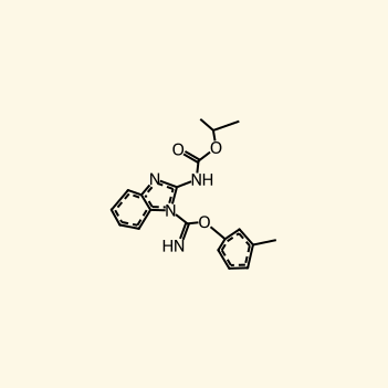 Cc1cccc(OC(=N)n2c(NC(=O)OC(C)C)nc3ccccc32)c1